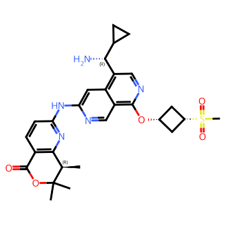 C[C@@H]1c2nc(Nc3cc4c([C@H](N)C5CC5)cnc(O[C@H]5C[C@@H](S(C)(=O)=O)C5)c4cn3)ccc2C(=O)OC1(C)C